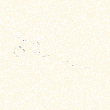 CCCCCCCCCCCCCC(CC(N)=O)c1ccccc1C(N)=O